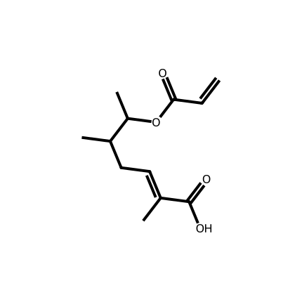 C=CC(=O)OC(C)C(C)C/C=C(\C)C(=O)O